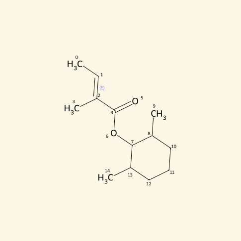 C/C=C(\C)C(=O)OC1C(C)CCCC1C